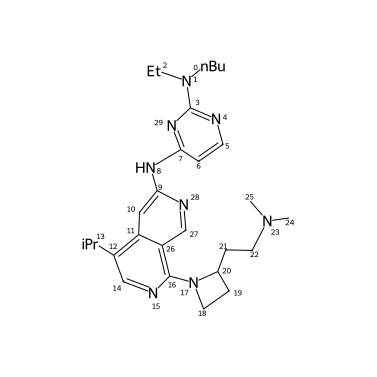 CCCCN(CC)c1nccc(Nc2cc3c(C(C)C)cnc(N4CCC4CCN(C)C)c3cn2)n1